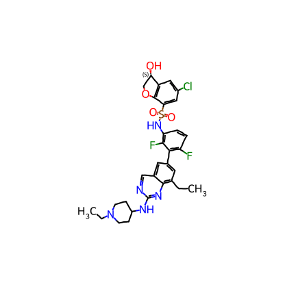 CCc1cc(-c2c(F)ccc(NS(=O)(=O)c3cc(Cl)cc4c3OC[C@H]4O)c2F)cc2cnc(NC3CCN(CC)CC3)nc12